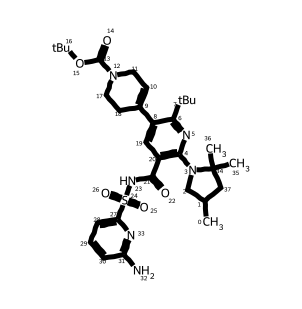 CC1CN(c2nc(C(C)(C)C)c(C3=CCN(C(=O)OC(C)(C)C)CC3)cc2C(=O)NS(=O)(=O)c2cccc(N)n2)C(C)(C)C1